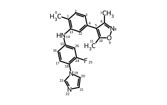 Cc1ccc(-c2c(C)noc2C)cc1Nc1ccc(-n2ccnc2)c(F)c1